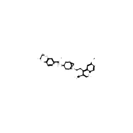 COc1ccc2ncc(C#N)c(CCN3CC4CC(NC(=O)c5ccc6c(c5)OCCO6)CC3C4)c2c1